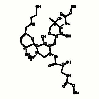 CN(C(=O)OC(C)(C)C)[C@@H]1[C@@H](O)[C@@H](O[C@@H]2[C@@H](O)[C@H](C3OC(CNCCO)=CC[C@H]3N)[C@@H](N)C[C@H]2NC(=O)[C@@H](O)CNC(=O)OC(C)(C)C)OC[C@]1(C)O